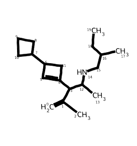 C=C(C)C(C1=CC(C2CCC2)C1)C(C)NCC(C)CC